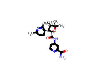 COc1nc(C(F)(F)F)ccc1[C@H]1[C@@H](C)[C@@](C)(C(F)(F)F)O[C@H]1C(=O)Nc1ccnc(C(N)=O)c1